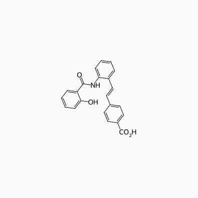 O=C(O)c1ccc(C=Cc2ccccc2NC(=O)c2ccccc2O)cc1